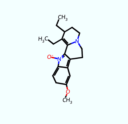 CCC1=C2C3=[N+]([O-])C4=CCC(OC)=CC4=C3CCN2CCC1CC